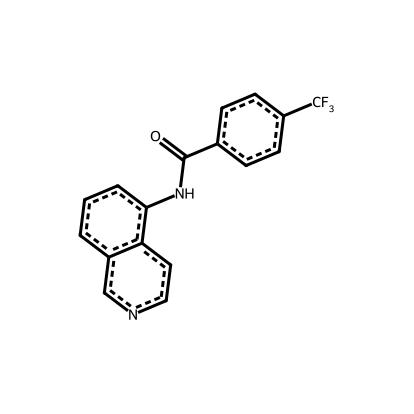 O=C(Nc1cccc2cnccc12)c1ccc(C(F)(F)F)cc1